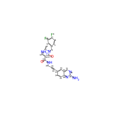 C=CN(Cc1ccc(F)c(F)c1)C(=O)/C(=C\N)C(=O)NCC#Cc1ccc2nc(N)ncc2c1